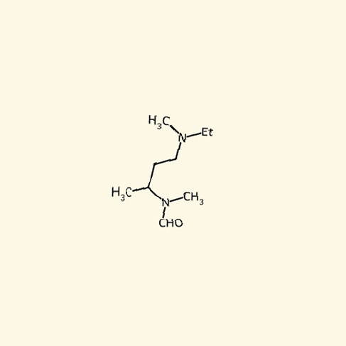 CCN(C)CCC(C)N(C)C=O